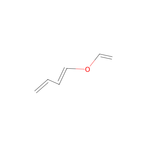 C=CC=COC=C